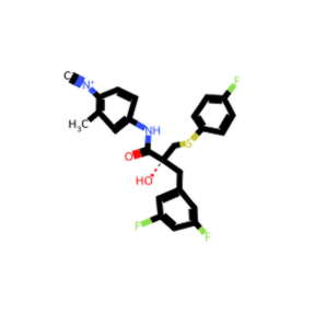 [C-]#[N+]c1ccc(NC(=O)[C@@](O)(CSc2ccc(F)cc2)Cc2cc(F)cc(F)c2)cc1C